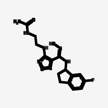 NC(=O)NCCNc1nonc1/C(=N\O)NC1CCc2ccc(F)cc21